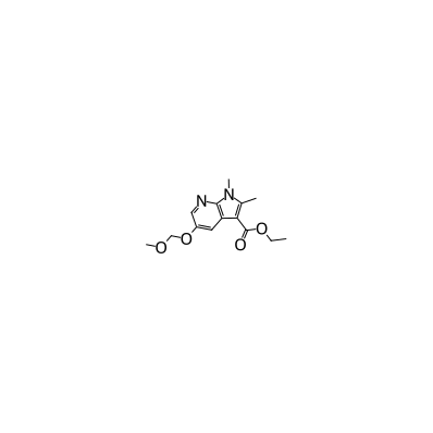 CCOC(=O)c1c(C)n(C)c2ncc(OCOC)cc12